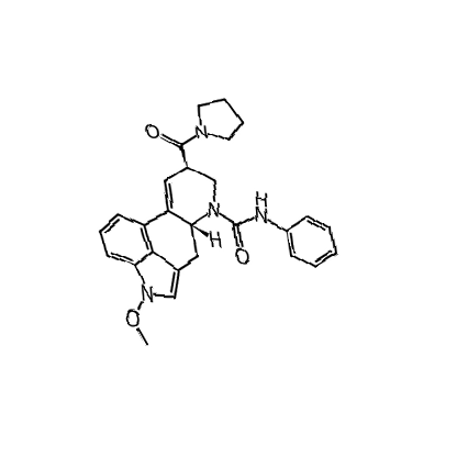 COn1cc2c3c(cccc31)C1=C[C@@H](C(=O)N3CCCC3)CN(C(=O)Nc3ccccc3)[C@@H]1C2